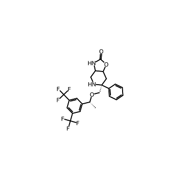 C[C@@H](OC[C@@]1(c2ccccc2)CC2OC(=O)NC2CN1)c1cc(C(F)(F)F)cc(C(F)(F)F)c1